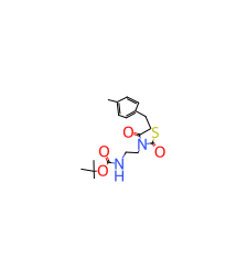 Cc1ccc(CC2SC(=O)N(CCNC(=O)OC(C)(C)C)C2=O)cc1